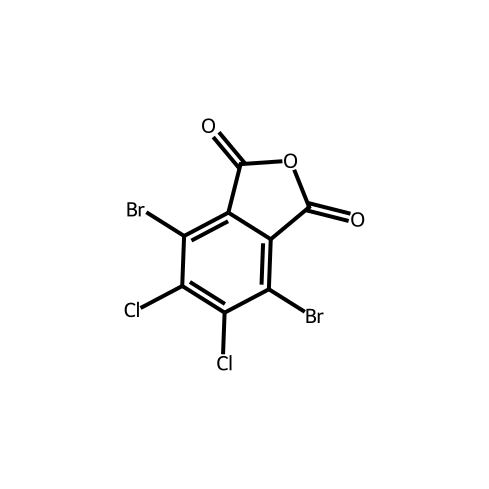 O=C1OC(=O)c2c(Br)c(Cl)c(Cl)c(Br)c21